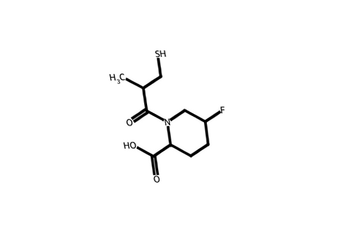 CC(CS)C(=O)N1CC(F)CC[C]1C(=O)O